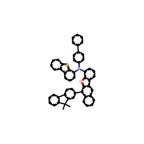 CC1(C)c2ccccc2-c2ccc(-c3c4ccccc4cc4c3oc3c(N(c5ccc(-c6ccccc6)cc5)c5cccc6c5sc5ccccc56)cccc34)cc21